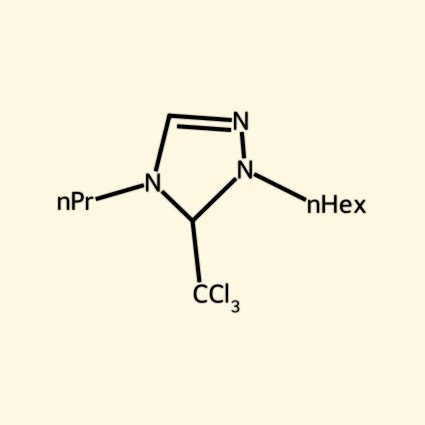 CCCCCCN1N=CN(CCC)C1C(Cl)(Cl)Cl